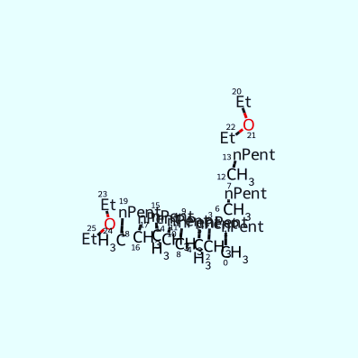 CCCCCC.CCCCCC.CCCCCC.CCCCCC.CCCCCC.CCCCCC.CCCCCC.CCCCCC.CCCCCC.CCCCCC.CCOCC.CCOCC